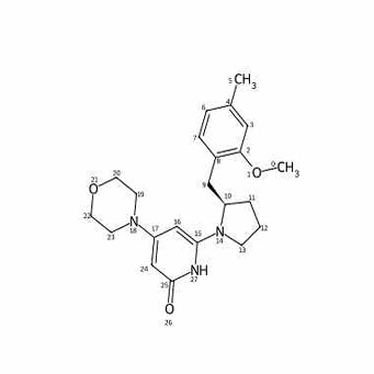 COc1cc(C)ccc1C[C@H]1CCCN1c1cc(N2CCOCC2)cc(=O)[nH]1